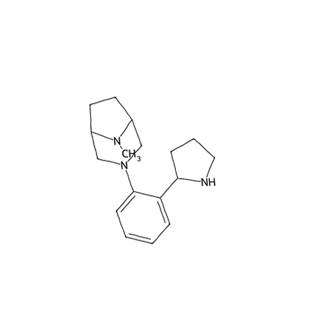 CN1C2CCC1CN(c1ccccc1C1CCCN1)C2